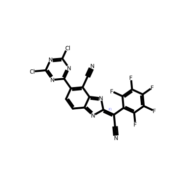 N#C/C(=C1\N=c2ccc(-c3nc(Cl)nc(Cl)n3)c(C#N)c2=N1)c1c(F)c(F)c(F)c(F)c1F